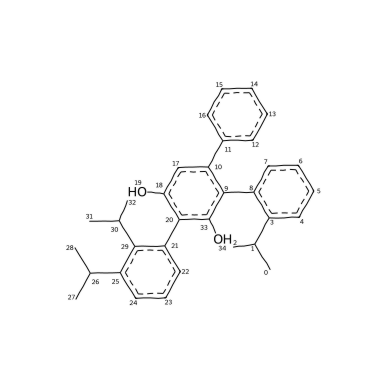 CC(C)c1ccccc1-c1c(-c2ccccc2)cc(O)c(-c2cccc(C(C)C)c2C(C)C)c1O